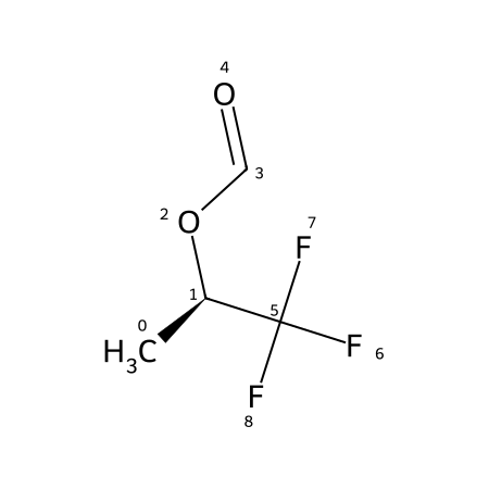 C[C@@H](OC=O)C(F)(F)F